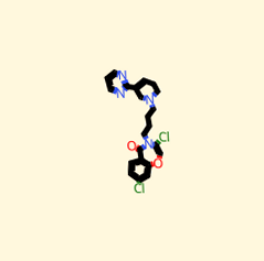 O=C1c2ccc(Cl)cc2OC=C(Cl)N1CCCCN1CCC=C(c2ncccn2)C1